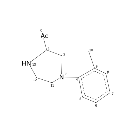 CC(=O)C1CN(c2ccc[c]c2C)CCN1